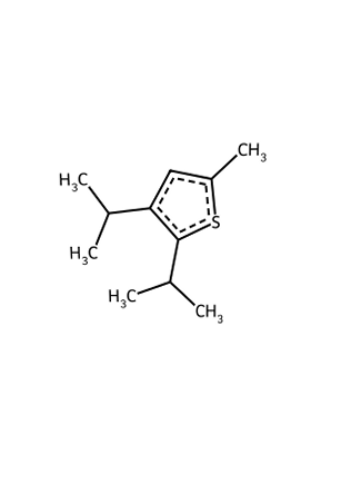 Cc1cc(C(C)C)c(C(C)C)s1